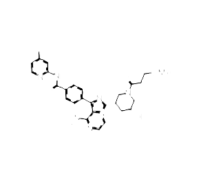 COCCC(=O)N1C[C@H](O)C[C@H](c2nc(-c3ccc(C(=O)Nc4cc(C(F)(F)F)ccn4)cc3)c3c(N)nccn23)C1